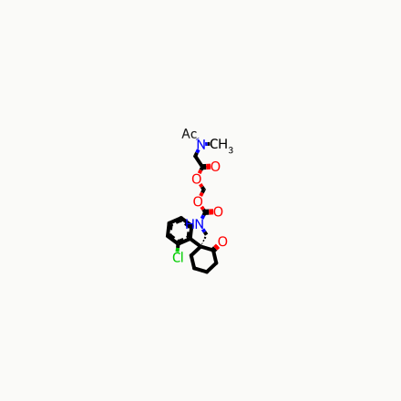 CC(=O)N(C)CC(=O)OCOC(=O)NC[C@@]1(c2ccccc2Cl)CCCCC1=O